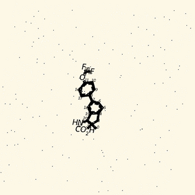 CC1(C)Cc2ccc(-c3ccc(OC(F)F)cc3)cc2C1NC(=O)O